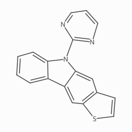 c1cnc(-n2c3ccccc3c3cc4sccc4cc32)nc1